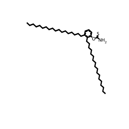 CCCCCCCCCCCCCCCCCCc1cccc(OC(N)=S)c1CCCCCCCCCCCCCCCCCC